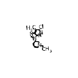 CCN1CCC[C@@H](n2cnc3c(C)c(Cl)nnc32)C1